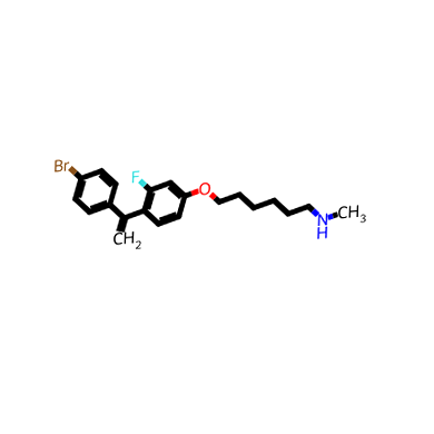 C=C(c1ccc(Br)cc1)c1ccc(OCCCCCCNC)cc1F